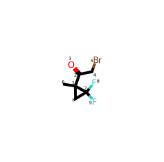 CC1(C(=O)CBr)CC1(F)F